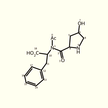 CC(=O)N(C(=O)C1CC(O)CN1)C(Cc1ccccc1)C(=O)O